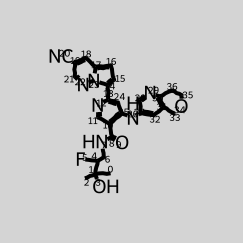 CC(C)(O)C(F)CNC(=O)c1cnc(-c2ccc3cc(C#N)cnn23)cc1Nc1cnc2c(c1)COCC2